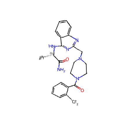 CC(C)[C@H](Nc1nc(CN2CCN(C(=O)c3ccccc3C(F)(F)F)CC2)nc2ccccc12)C(N)=O